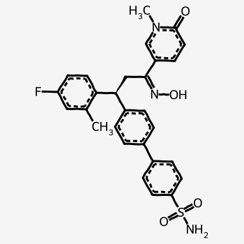 Cc1cc(F)ccc1[C@@H](CC(=NO)c1ccc(=O)n(C)c1)c1ccc(-c2ccc(S(N)(=O)=O)cc2)cc1